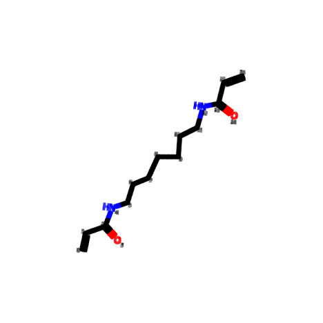 C=CC(=O)NCCCCCCCNC(=O)C=C